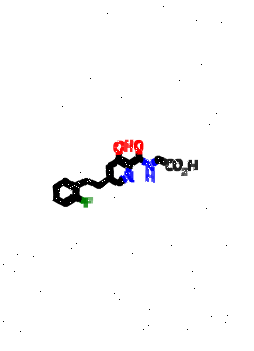 O=C(O)CNC(=O)c1ncc(CCc2ccccc2F)cc1O